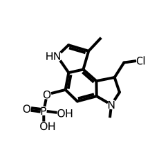 Cc1c[nH]c2c(OP(=O)(O)O)cc3c(c12)C(CCl)CN3C